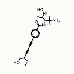 COC(C#CC#Cc1ccc(C(=O)N[C@H](C(=O)NO)C(C)(C)N)cc1)CO